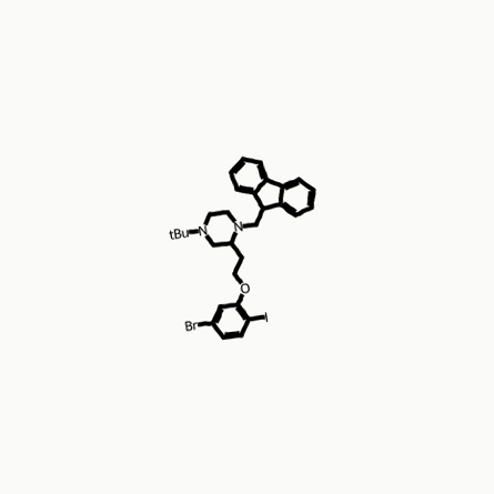 CC(C)(C)N1CCN(CC2c3ccccc3-c3ccccc32)C(CCOc2cc(Br)ccc2I)C1